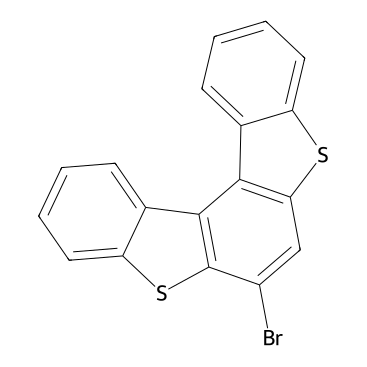 Brc1cc2sc3ccccc3c2c2c1sc1ccccc12